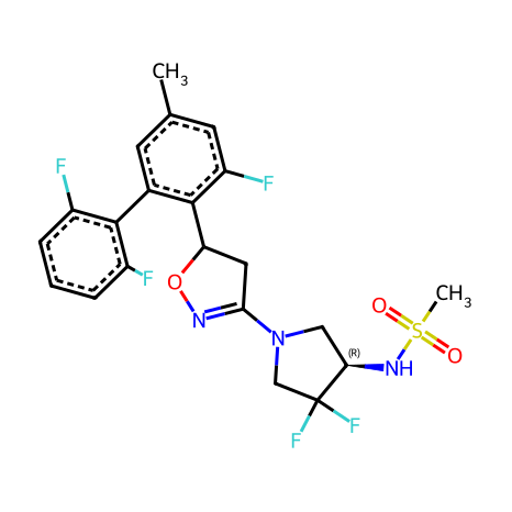 Cc1cc(F)c(C2CC(N3C[C@@H](NS(C)(=O)=O)C(F)(F)C3)=NO2)c(-c2c(F)cccc2F)c1